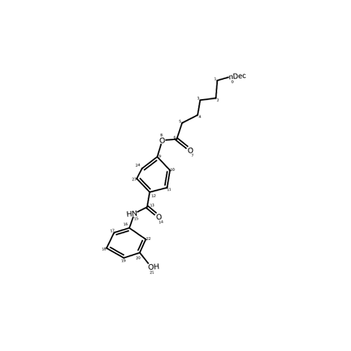 CCCCCCCCCCCCCCCC(=O)Oc1ccc(C(=O)Nc2cccc(O)c2)cc1